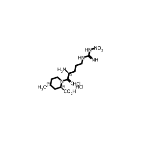 C[C@@H]1CCN(C(=O)[C@@H](N)CCCNC(=N)N[N+](=O)[O-])[C@@H](C(=O)O)C1.Cl.Cl